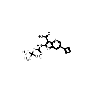 CC(C)(C)OC(=O)Nc1oc2cc(C3=CC=C3)cnc2c1C(=O)O